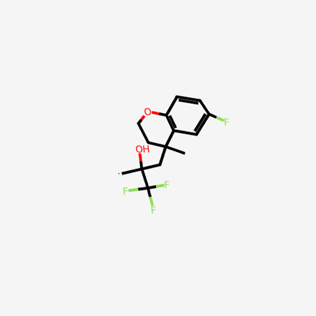 [CH2]C(O)(CC1(C)CCOc2ccc(F)cc21)C(F)(F)F